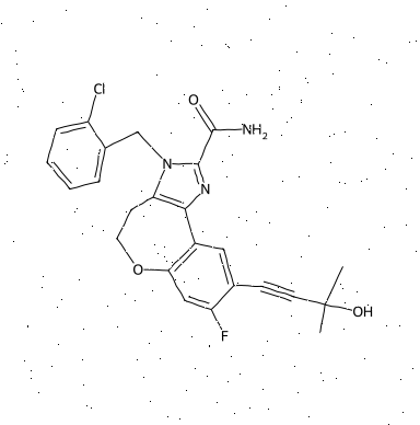 CC(C)(O)C#Cc1cc2c(cc1F)OCCc1c-2nc(C(N)=O)n1Cc1ccccc1Cl